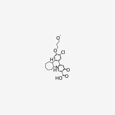 COCCCOc1cc2c(cc1Cl)-c1cc(=O)c(C(=O)O)cn1[C@H]1CCCCC[C@@H]21